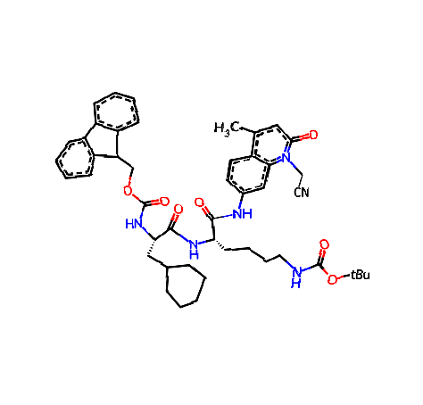 Cc1cc(=O)n(CC#N)c2cc(NC(=O)[C@H](CCCCNC(=O)OC(C)(C)C)NC(=O)[C@H](CC3CCCCC3)NC(=O)OCC3c4ccccc4-c4ccccc43)ccc12